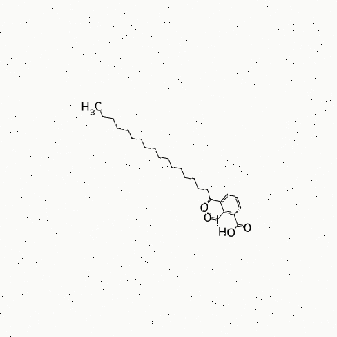 CCCCCCCCCCCCCCCCCC(=O)c1cccc(C(=O)O)c1I=O